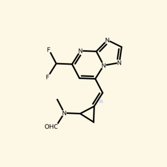 CN(C=O)C1C/C1=C/c1cc(C(F)F)nc2ncnn12